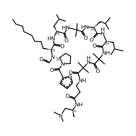 CCCCCCCC[C@@H](C(=O)N[C@@H](CC(C)C)C(=O)NC(C)(C)C(=O)N[C@@H](CC(C)C)C(=O)N[C@@H](CC(C)C)C(=O)NC(C)(C)C(=O)NC(C)(C)C(=O)NCCC(=O)N[C@@H](C)CN(C)C)N(C=O)[C@@H]1CCCN1C(=O)c1cccs1